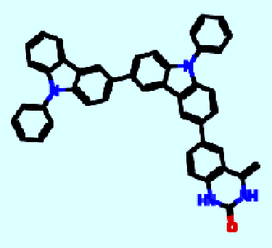 C=C1NC(=O)Nc2ccc(-c3ccc4c(c3)c3cc(-c5ccc6c(c5)c5ccccc5n6-c5ccccc5)ccc3n4-c3ccccc3)cc21